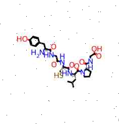 CC(C)C[C@H](NC(=O)[C@H](CS)NC(=O)CNC(=O)[C@@H](N)Cc1ccc(O)cc1)C(=O)N1CCC[C@H]1C(=O)NCC(=O)O